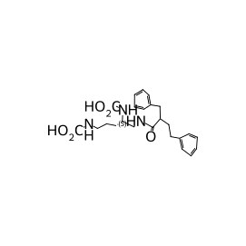 O=C(O)NCCC[C@@H](CNC(=O)C(CCc1ccccc1)Cc1ccccc1)NC(=O)O